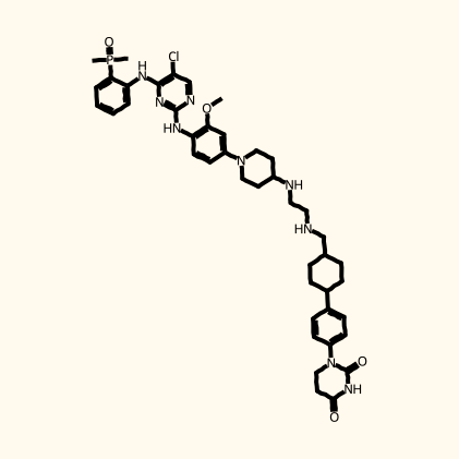 COc1cc(N2CCC(NCCNCC3CCC(c4ccc(N5CCC(=O)NC5=O)cc4)CC3)CC2)ccc1Nc1ncc(Cl)c(Nc2ccccc2P(C)(C)=O)n1